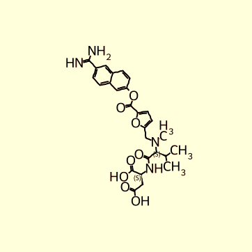 CC(C)[C@@H](C(=O)N[C@@H](CC(=O)O)C(=O)O)N(C)Cc1ccc(C(=O)Oc2ccc3cc(C(=N)N)ccc3c2)o1